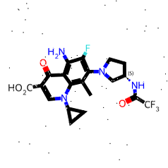 Cc1c(N2CC[C@H](NC(=O)C(F)(F)F)C2)c(F)c(N)c2c(=O)c(C(=O)O)cn(C3CC3)c12